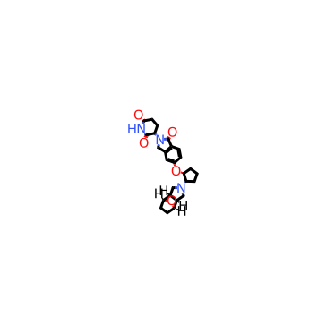 O=C1CCC(N2Cc3cc(O[C@H]4CCC[C@@H]4N4C[C@@H]5[C@H](C4)[C@H]4CC[C@@H]5O4)ccc3C2=O)C(=O)N1